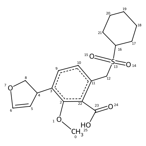 COc1c(C2C=COC2)ccc(CS(=O)(=O)C2CCCCC2)c1C(=O)O